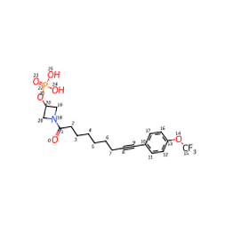 O=C(CCCCCCC#Cc1ccc(OC(F)(F)F)cc1)N1CC(OP(=O)(O)O)C1